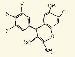 N#CC1=C(N)Oc2cc(O)c(O)cc2C1c1cc(F)c(F)c(F)c1